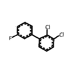 Fc1[c]ccc(-c2cccc(Cl)c2Cl)c1